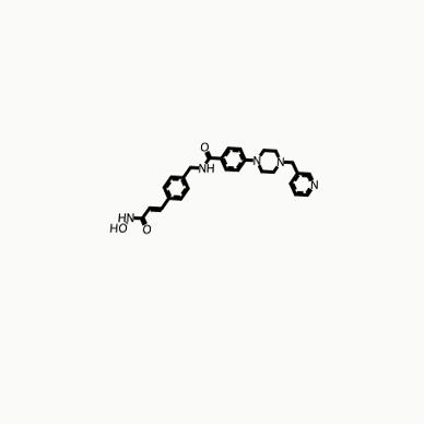 O=C(C=Cc1ccc(CNC(=O)c2ccc(N3CCN(Cc4cccnc4)CC3)cc2)cc1)NO